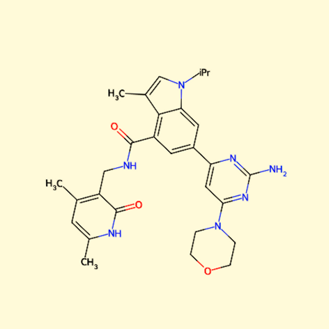 Cc1cc(C)c(CNC(=O)c2cc(-c3cc(N4CCOCC4)nc(N)n3)cc3c2c(C)cn3C(C)C)c(=O)[nH]1